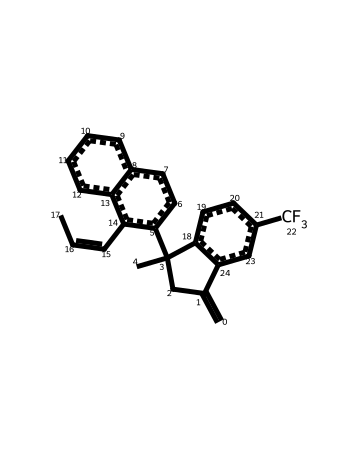 C=C1CC(C)(c2ccc3ccccc3c2/C=C\C)c2ccc(C(F)(F)F)cc21